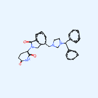 O=C1CCC(N2Cc3c(CN4CCN(C(c5ccccc5)c5ccccc5)C4)cccc3C2=O)C(=O)N1